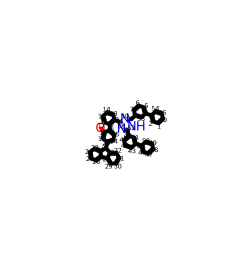 c1ccc(-c2cccc(C3=NC(c4cccc5oc6cc(C7c8ccccc8-c8ccccc87)ccc6c45)=NC(c4cccc(-c5ccccc5)c4)N3)c2)cc1